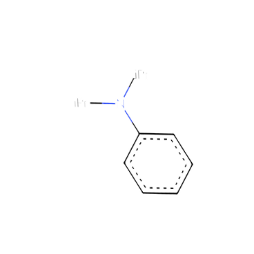 CC(C)[N+](c1ccccc1)C(C)C